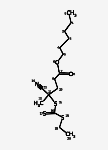 CCCCCCOC(=O)CCC(C)(C#N)SC(=S)SCC